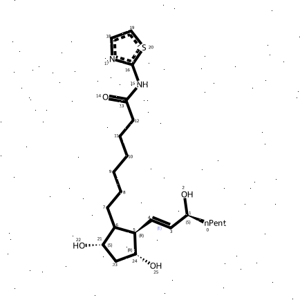 CCCCC[C@H](O)/C=C/[C@@H]1C(CCCCCCC(=O)Nc2nccs2)[C@@H](O)C[C@H]1O